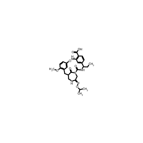 CCC(NC(=O)N1C/C(=N/OC(C)C)NCC(Cc2cc(Cl)ccc2OC)C1=O)c1ccc(C(=O)O)c(N)c1